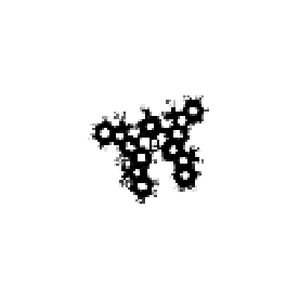 Cc1cc2c3c(c1)-c1c4c(cc5c6c(cc(c15)B3c1cc3c(c5cc7c(c-2c15)C(C)(C)c1ccccc1-7)C(C)(C)c1ccccc1-3)-c1ccccc1C6(C)C)-c1ccccc1C4(C)C